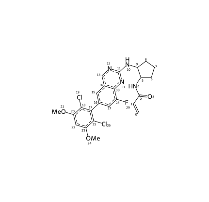 C=CC(=O)NC1CCCC1Nc1ncc2cc(-c3c(Cl)c(OC)cc(OC)c3Cl)cc(F)c2n1